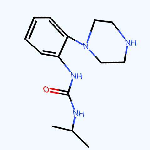 CC(C)NC(=O)Nc1ccccc1N1CCNCC1